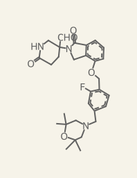 CC1(C)CN(Cc2ccc(COc3cccc4c3CN(C3(C=O)CCC(=O)NC3)C4=O)c(F)c2)CC(C)(C)O1